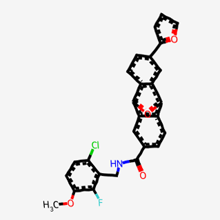 COc1ccc(Cl)c(CNC(=O)c2ccc3c(c2)c2oc3c3cc(-c4ccco4)ccc32)c1F